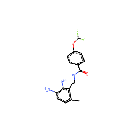 Cc1ccc(N)c(N)c1CNC(=O)c1ccc(OC(F)F)cc1